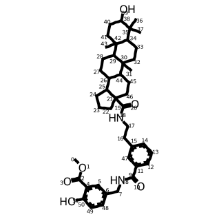 COC(=O)c1cc(CNC(=O)c2cccc(CCNC(=O)C34CCCC3C3CCC5C(C)(CCC6C(C)(C)C(O)CCC65C)C3CC4)c2)ccc1O